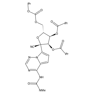 CNC(=O)Nc1ncnn2c([C@]3(C#N)O[C@H](COC(=O)OC(C)C)[C@@H](OC(=O)C(C)C)[C@H]3OC(=O)C(C)C)ccc12